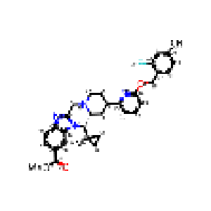 CNC1(Cn2c(CN3CCC(c4cccc(OCc5ccc(C#N)cc5F)n4)CC3)nc3ccc(C(=O)OC)cc32)CC1